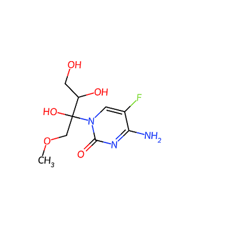 COCC(O)(C(O)CO)n1cc(F)c(N)nc1=O